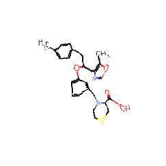 Cc1ccc(CC(Oc2cccc(CN3CCSCC3C(=O)O)c2)c2ncoc2C)cc1